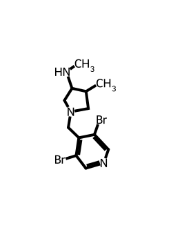 CNC1CN(Cc2c(Br)cncc2Br)CC1C